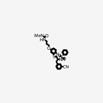 CNC(=O)NCCCOc1ccc2nc(C(Cc3cccc(C#N)c3)NS(=O)(=O)c3ccccc3)sc2c1